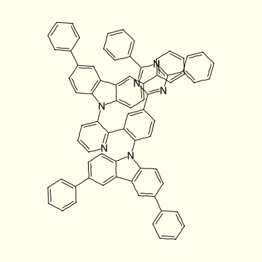 c1ccc(-c2ccc3c(c2)c2cc(-c4ccccc4)ccc2n3-c2ccc(-c3nc(-c4ccccc4)nc(-c4ccccc4)n3)cc2-c2ncccc2-n2c3ccc(-c4ccccc4)cc3c3cc(-c4ccccc4)ccc32)cc1